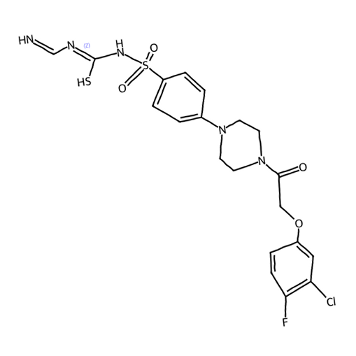 N=C/N=C(\S)NS(=O)(=O)c1ccc(N2CCN(C(=O)COc3ccc(F)c(Cl)c3)CC2)cc1